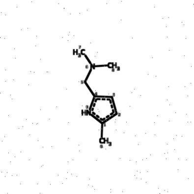 Cc1ccc(CN(C)C)[nH]1